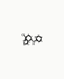 Clc1ccc(Nc2ccccn2)c2cnsc12